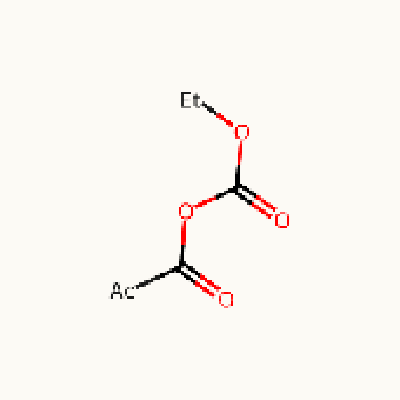 CCOC(=O)OC(=O)C(C)=O